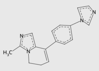 Cc1ncc2n1CCC=C2c1ccc(-n2ccnc2)cc1